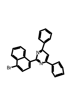 Brc1ccc(-c2nc(-c3ccccc3)cc(-c3ccccc3)n2)c2ccccc12